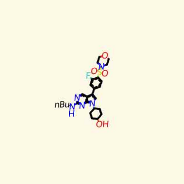 CCCCNc1ncc2c(-c3ccc(S(=O)(=O)N4CCOCC4)c(F)c3)cn([C@H]3CC[C@H](O)CC3)c2n1